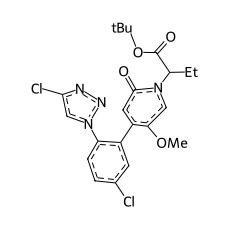 CCC(C(=O)OC(C)(C)C)n1cc(OC)c(-c2cc(Cl)ccc2-n2cc(Cl)nn2)cc1=O